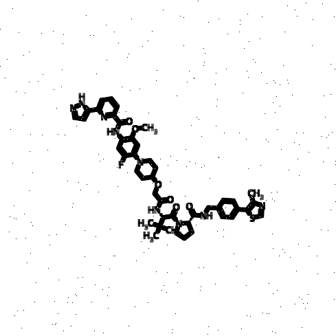 COc1cc(N2CCC(OCC(=O)N[C@H](C(=O)N3CCC[C@H]3C(=O)NCc3ccc(-c4scnc4C)cc3)C(C)(C)C)CC2)c(F)cc1NC(=O)c1cccc(-c2ccn[nH]2)n1